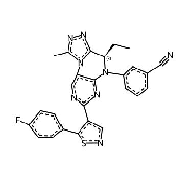 CC[C@@H]1c2nnc(C)n2-c2cnc(-c3cnsc3-c3ccc(F)cc3)nc2N1c1cccc(C#N)c1